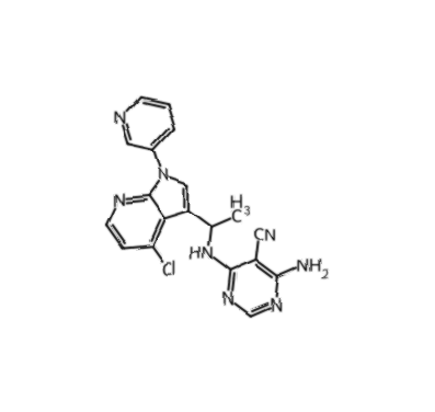 CC(Nc1ncnc(N)c1C#N)c1cn(-c2cccnc2)c2nccc(Cl)c12